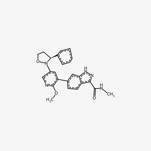 CNC(=O)c1n[nH]c2cc(-c3cc(N4OCC[C@H]4c4ccccc4)cnc3OC)ccc12